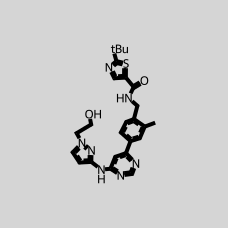 Cc1cc(-c2cc(Nc3ccn(CCO)n3)ncn2)ccc1CNC(=O)c1cnc(C(C)(C)C)s1